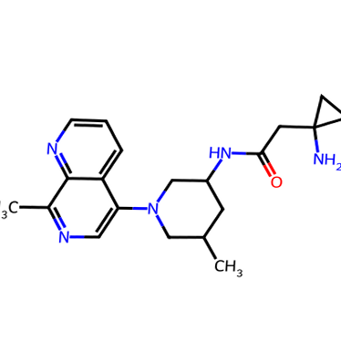 Cc1ncc(N2CC(C)CC(NC(=O)CC3(N)CC3)C2)c2cccnc12